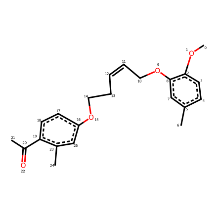 COc1ccc(C)cc1OC/C=C\CCOc1ccc(C(C)=O)c(C)c1